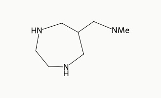 CNCC1CNCCNC1